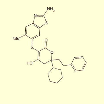 CC(C)(C)c1cc2nc(N)sc2cc1SC1=C(O)CC(CCc2ccccc2)(C2CCCCC2)OC1=O